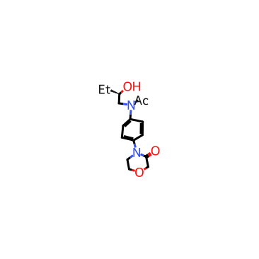 CC[C@@H](O)CN(C(C)=O)c1ccc(N2CCOCC2=O)cc1